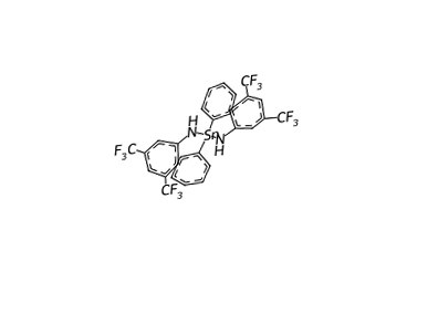 FC(F)(F)c1cc([NH][Sn]([NH]c2cc(C(F)(F)F)cc(C(F)(F)F)c2)([c]2ccccc2)[c]2ccccc2)cc(C(F)(F)F)c1